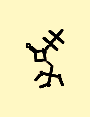 CSC(C[C@@H]1CC(=O)N1[Si](C)(C)C(C)(C)C)(SC)SC